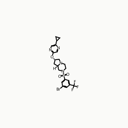 O=S(=O)(c1cc(Br)cc(C(F)(F)F)c1)N1CCN2C[C@H](Oc3cnc(C4CC4)cn3)C[C@H]2C1